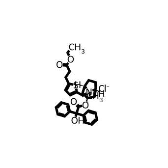 CCOC(=O)CCc1ccc(C[N@+]2(C)[C@@H]3CC[C@H]2C[C@@H](OC(=O)C(O)(c2ccccc2)c2ccccc2)C3)s1.[Cl-]